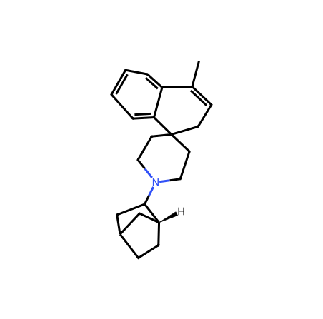 CC1=CCC2(CCN(C3CC4CC[C@@H]3C4)CC2)c2ccccc21